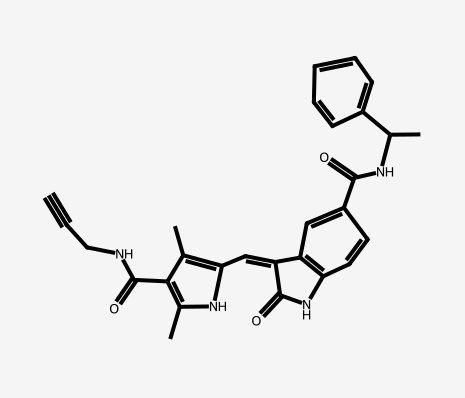 C#CCNC(=O)c1c(C)[nH]c(/C=C2\C(=O)Nc3ccc(C(=O)NC(C)c4ccccc4)cc32)c1C